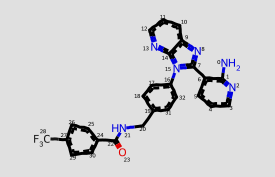 Nc1ncccc1-c1nc2cccnc2n1-c1ccc(CNC(=O)c2ccc(C(F)(F)F)cc2)cc1